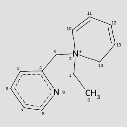 CC[N+]1(Cc2ccccn2)C=CC=CC1